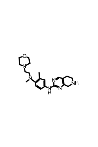 Cc1cc(Nc2ncc3c(n2)CNCC3)ccc1N(C)CCN1CCOCC1